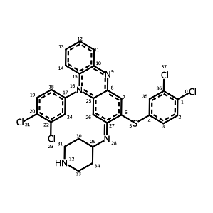 Clc1ccc(Sc2cc3nc4ccccc4n(-c4ccc(Cl)c(Cl)c4)c-3cc2=NC2CCNCC2)cc1Cl